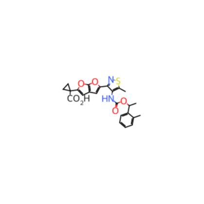 Cc1ccccc1C(C)OC(=O)Nc1c(-c2cc3cc(C4(C(=O)O)CC4)oc3o2)nsc1C